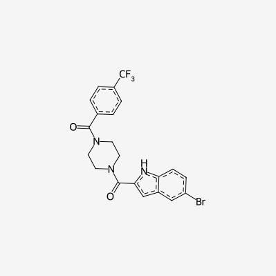 O=C(c1ccc(C(F)(F)F)cc1)N1CCN(C(=O)c2cc3cc(Br)ccc3[nH]2)CC1